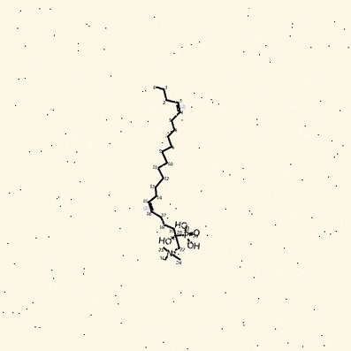 CCC/C=C\CCCCCCCCCC/C=C\CCCC(O)(C[N+](C)(C)C)P(=O)(O)O